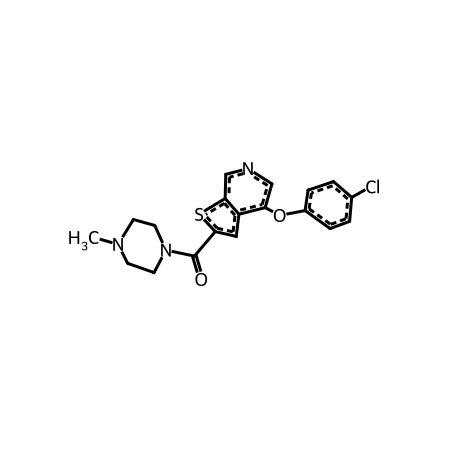 CN1CCN(C(=O)c2cc3c(Oc4ccc(Cl)cc4)cncc3s2)CC1